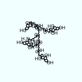 C[C@H](CCC(=O)NCCCCC(NC(=O)CC[C@@H](C)C1CCC2C3C(O)CC4CC(O)CCC4(C)C3CC(O)C21C)C(=O)NCCCCN(CCCNC(=O)C(CCCCNC(=O)CC[C@@H](C)C1CCC2C3C(O)CC4CC(O)CCC4(C)C3CC(O)C21C)NC(=O)CC[C@@H](C)C1CCC2C3C(O)CC4CC(O)CCC4(C)C3CC(O)C21C)C(=O)CCCCCCCN)C1CCC2C3C(O)CC4CC(O)CCC4(C)C3CC(O)C21C